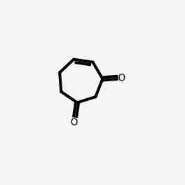 O=C1C=CCCC(=O)C1